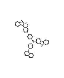 c1ccc2c(-c3ccc(N(c4ccc(-c5ccc6c(ccc7sc8ccccc8c76)c5)cc4)c4ccc5c(c4)sc4ccccc45)cc3)cccc2c1